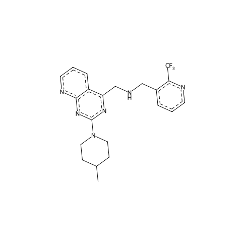 CC1CCN(c2nc(CNCc3cccnc3C(F)(F)F)c3cccnc3n2)CC1